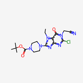 CCn1c(N2CCN(C(=O)OC(C)(C)C)CC2)nc2nc(Cl)n(CC#N)c(=O)c21